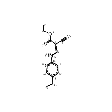 CCOC(=O)/C(C#N)=C\Nc1ccc(CC)cn1